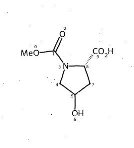 COC(=O)N1CC(O)C[C@H]1C(=O)O